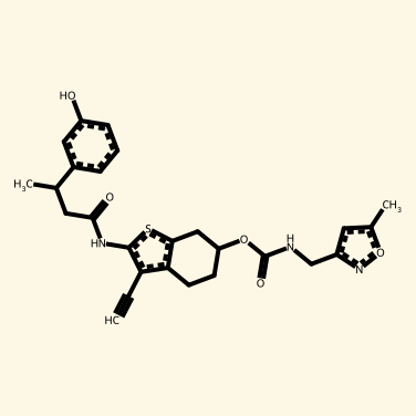 C#Cc1c(NC(=O)CC(C)c2cccc(O)c2)sc2c1CCC(OC(=O)NCc1cc(C)on1)C2